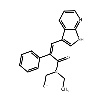 CCN(CC)C(=O)C(=Cc1c[nH]c2ncccc12)c1ccccc1